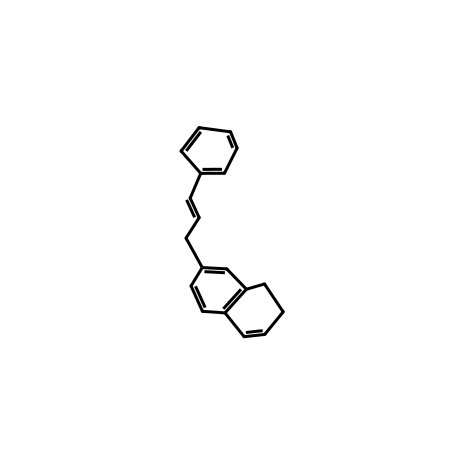 C1=Cc2ccc(CC=Cc3ccccc3)cc2CC1